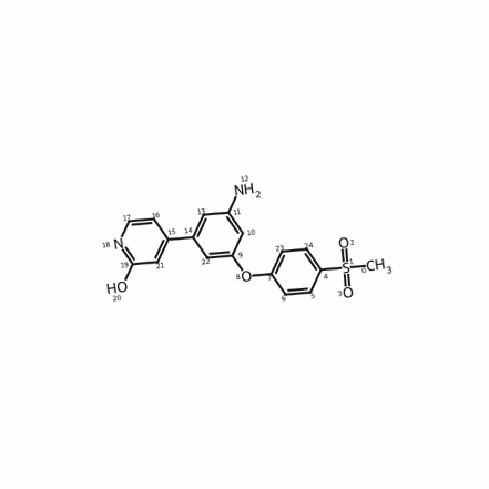 CS(=O)(=O)c1ccc(Oc2cc(N)cc(-c3ccnc(O)c3)c2)cc1